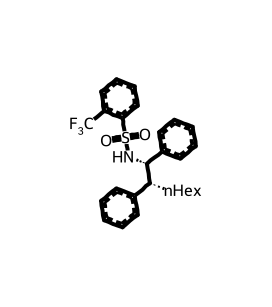 CCCCCC[C@H](c1ccccc1)[C@H](NS(=O)(=O)c1ccccc1C(F)(F)F)c1ccccc1